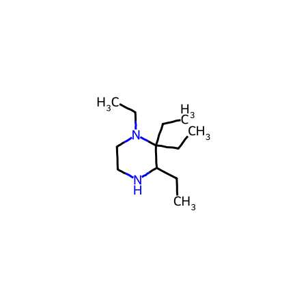 CCC1NCCN(CC)C1(CC)CC